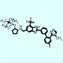 Cn1cnnc1-c1cc(F)ccc1-c1cccc(-c2nc3cc(CN[C@@H]4CCC[C@@H]4O[Si](C)(C)C(C)(C)C)cc(C(F)(F)F)c3[nH]2)c1